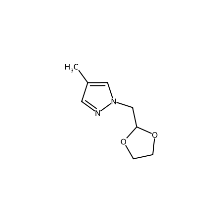 Cc1cnn(CC2OCCO2)c1